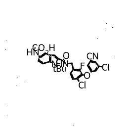 CC(C)(C)n1c(C(=O)NCc2ccc(Cl)c(Oc3cc(Cl)cc(C#N)c3)c2F)cc2cc(NC(=O)O)ccc21